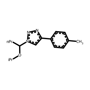 CCCC(OC(C)C)n1cc(-c2ccc(C)cc2)nn1